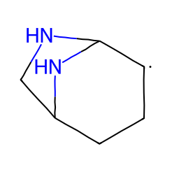 [CH]1CCC2CNC1N2